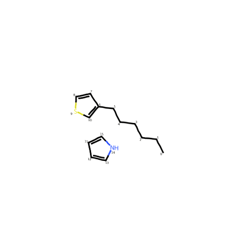 CCCCCCc1ccsc1.c1cc[nH]c1